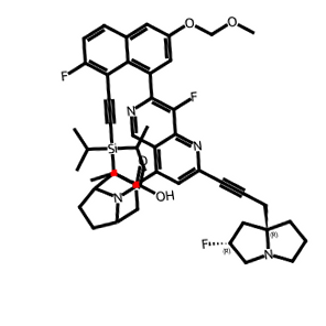 COCOc1cc(-c2ncc3c(N4CC5CCC(C4)N5C(=O)O)cc(C#CC[C@@]45CCCN4C[C@H](F)C5)nc3c2F)c2c(C#C[Si](C(C)C)(C(C)C)C(C)C)c(F)ccc2c1